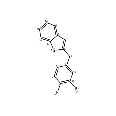 Fc1ccc(Cc2cc3ccccc3s2)cc1Br